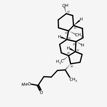 COC(=O)CCCC(C)[C@H]1CC[C@H]2[C@@H]3CC[C@H]4C[C@@H](O)CC[C@]4(C)[C@H]3CC[C@]12C